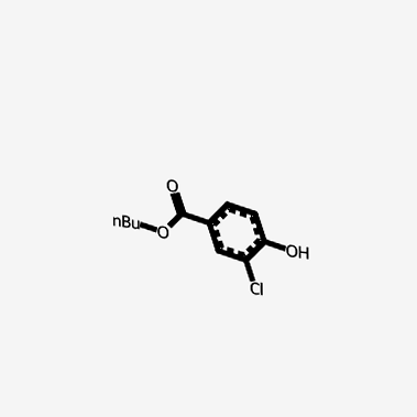 CCCCOC(=O)c1ccc(O)c(Cl)c1